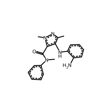 Cc1nn(C)c(C(=O)N(C)c2ccccc2)c1Nc1ccccc1N